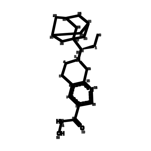 CC[C@H](N1CCc2cc(C(=O)NO)cnc2C1)C12CC3CC(CC(C3)C1)C2